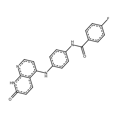 O=C(Nc1ccc(Nc2ccnc3[nH]c(=O)ccc23)cc1)c1ccc(F)cc1